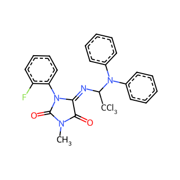 CN1C(=O)C(=NC(N(c2ccccc2)c2ccccc2)C(Cl)(Cl)Cl)N(c2ccccc2F)C1=O